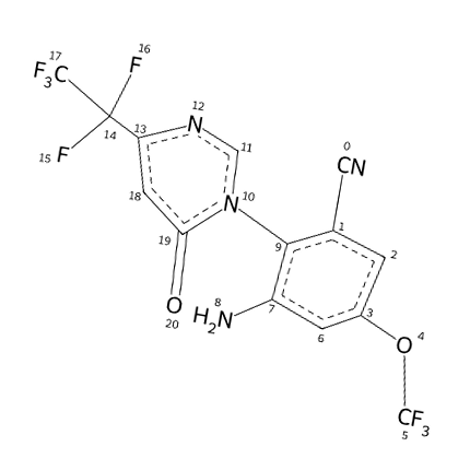 N#Cc1cc(OC(F)(F)F)cc(N)c1-n1cnc(C(F)(F)C(F)(F)F)cc1=O